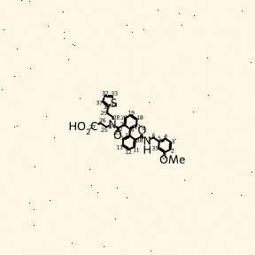 COc1cccc(CNC(=O)c2ccccc2-c2ccccc2C(=O)N(CCC(=O)O)CCc2cccs2)c1